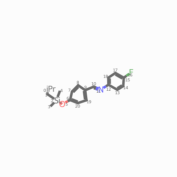 CC(C)C[Si](C)(C)Oc1ccc(C=Nc2ccc(F)cc2)cc1